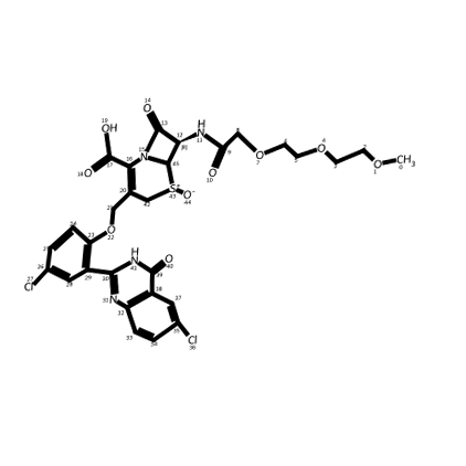 COCCOCCOCC(=O)N[C@@H]1C(=O)N2C(C(=O)O)=C(COc3ccc(Cl)cc3-c3nc4ccc(Cl)cc4c(=O)[nH]3)C[S+]([O-])C12